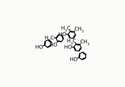 Cc1cccc(O)c1C.Cc1cccc(O)c1C.Cc1ccccc1O.Oc1ccccc1.Oc1ccccc1